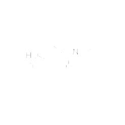 CCCOC[C@]1(O)CC[C@]2(CCN(c3ccc(CC)cc3)C2=O)CC1